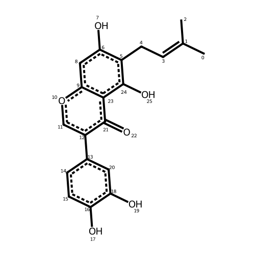 CC(C)=CCc1c(O)cc2occ(-c3ccc(O)c(O)c3)c(=O)c2c1O